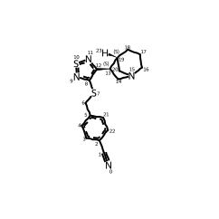 N#Cc1ccc(CSc2nsnc2[C@@H]2CN3CCC[C@@H]2C3)cc1